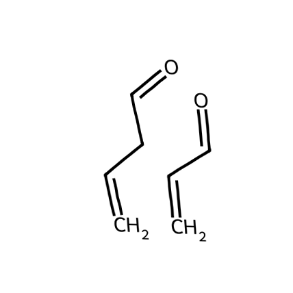 C=CC=O.C=CCC=O